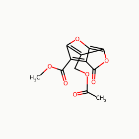 COC(=O)c1c2c3oc1c(COC(C)=O)c3OC2=O